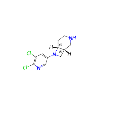 Clc1cc(N2C[C@H]3CNCC[C@H]32)cnc1Cl